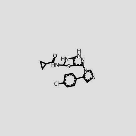 O=C(NC1Nc2[nH]nc(-n3cncc3-c3ccc(Cl)cc3)c2S1)C1CC1